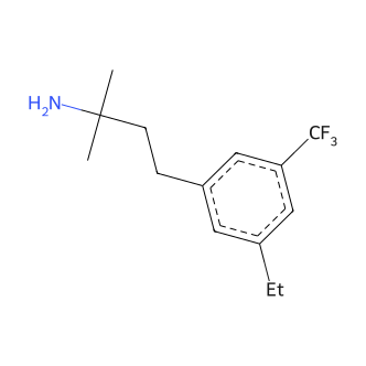 CCc1cc(CCC(C)(C)N)cc(C(F)(F)F)c1